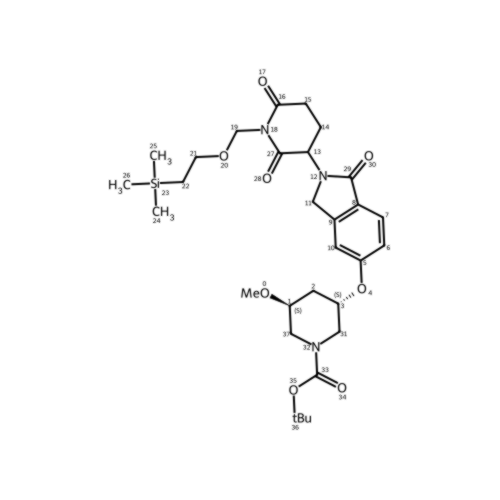 CO[C@H]1C[C@H](Oc2ccc3c(c2)CN(C2CCC(=O)N(COCC[Si](C)(C)C)C2=O)C3=O)CN(C(=O)OC(C)(C)C)C1